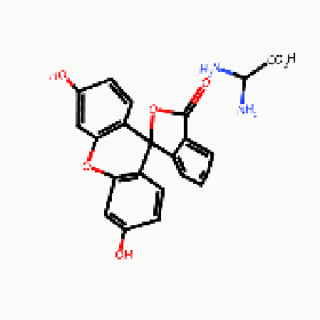 NC(N)C(=O)O.O=C1OC2(c3ccc(O)cc3Oc3cc(O)ccc32)c2ccccc21